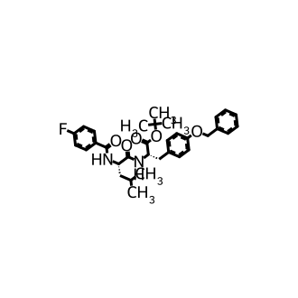 CC(C)C[C@H](NC(=O)c1ccc(F)cc1)C(=O)N[C@@H](Cc1ccc(OCc2ccccc2)cc1)C(=O)OC(C)(C)C